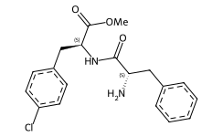 COC(=O)[C@H](Cc1ccc(Cl)cc1)NC(=O)[C@@H](N)Cc1ccccc1